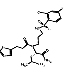 CC(C)C[C@@H](C(N)=O)N(CCCNS(=O)(=O)c1ccc(F)cc1Cl)C(=O)CCc1cccs1